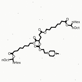 CCCCCCCCC(CCCCCC)OC(=O)CCCCCCCOC(=O)CCC(OC(=O)OCCN1CCN(C)CC1)C(=O)OCCCCCCCC(=O)OC(CCCCCC)CCCCCCCC